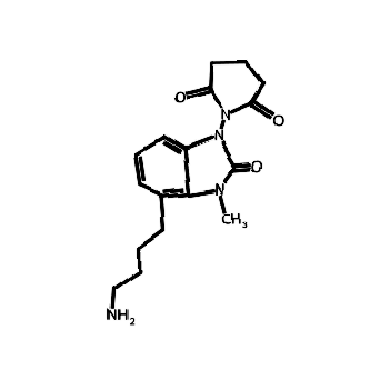 Cn1c(=O)n(N2C(=O)CCCC2=O)c2cccc(CCCCN)c21